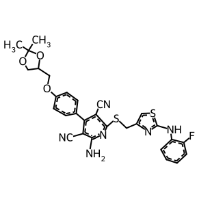 CC1(C)OCC(COc2ccc(-c3c(C#N)c(N)nc(SCc4csc(Nc5ccccc5F)n4)c3C#N)cc2)O1